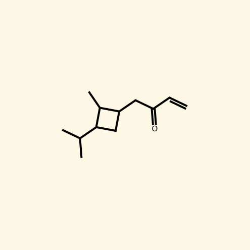 C=CC(=O)CC1CC(C(C)C)C1C